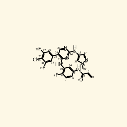 C=CC(=O)Nc1ccc(F)c(Nc2nc(Nc3cnn(C)c3)ncc2-c2cc(F)c(Cl)c(F)c2)c1